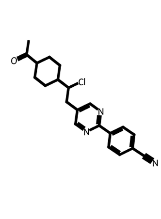 CC(=O)C1CCC(C(Cl)Cc2cnc(-c3ccc(C#N)cc3)nc2)CC1